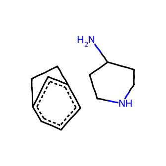 NC1CCNCC1.c1cc2cc(c1)CC2